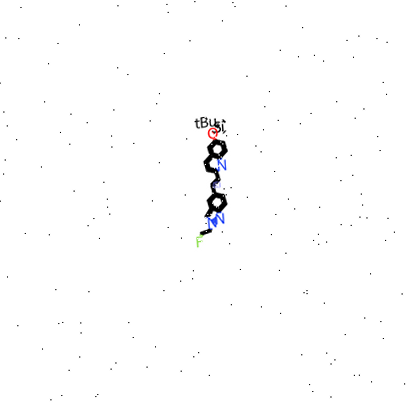 CC(C)(C)[Si](C)(C)Oc1ccc2nc(/C=C/c3ccc4nn(CCF)cc4c3)ccc2c1